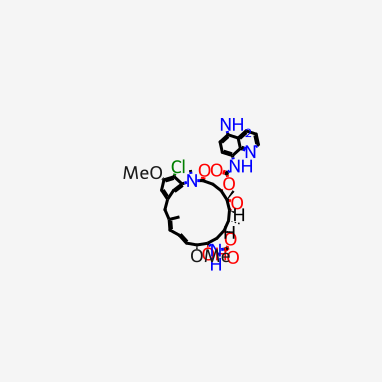 COc1cc2cc(c1Cl)N(C)C(=O)C[C@H](OC(=O)Nc1ccc(N)c3cccnc13)[C@]1(C)O[C@H]1[C@H](C)[C@@H]1C[C@@](O)(NC(=O)O1)[C@H](OC)/C=C/C=C(\C)C2